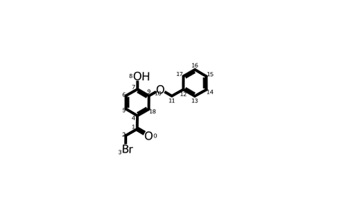 O=C(CBr)c1ccc(O)c(OCc2ccccc2)c1